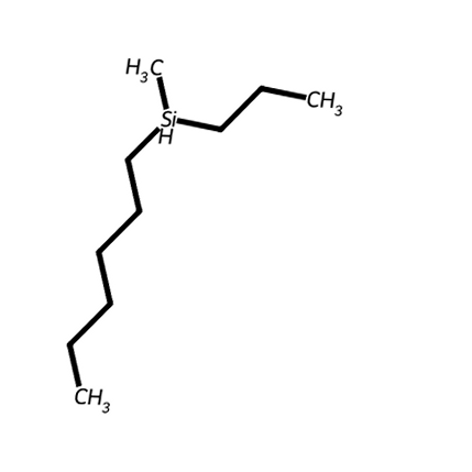 CCCCCC[SiH](C)CCC